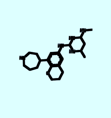 CNC1CC(C)NC(Nc2cc3c(c(C4CCCNCC4)c2)OCCC3)N1